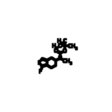 CN(C(=O)OC(C)(C)C)C1CCc2c(csc2F)C1